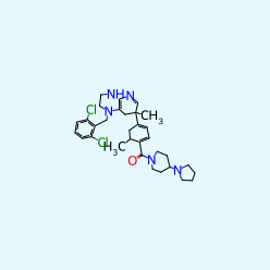 CC1CC(C2(C)C=NC3=C(C2)N(Cc2c(Cl)cccc2Cl)CCN3)=CC=C1C(=O)N1CCC(N2CCCC2)CC1